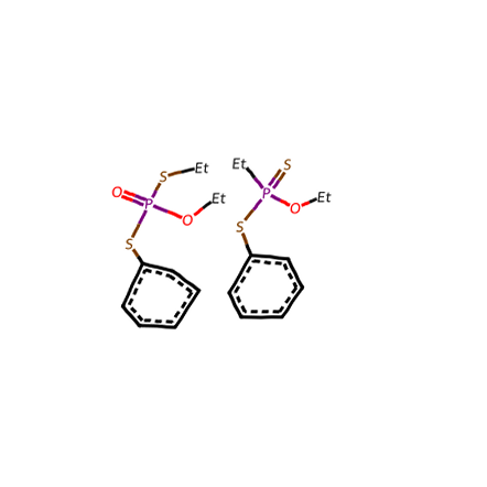 CCOP(=O)(SCC)Sc1ccccc1.CCOP(=S)(CC)Sc1ccccc1